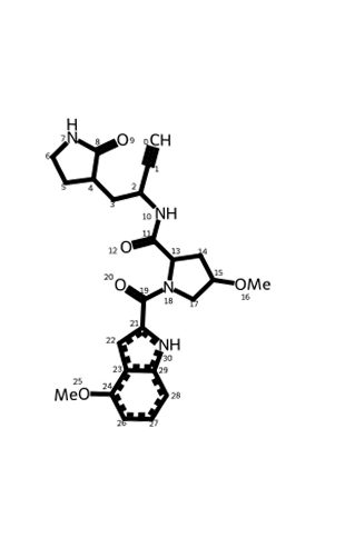 C#CC(CC1CCNC1=O)NC(=O)C1CC(OC)CN1C(=O)c1cc2c(OC)cccc2[nH]1